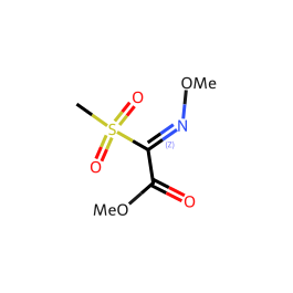 CO/N=C(/C(=O)OC)S(C)(=O)=O